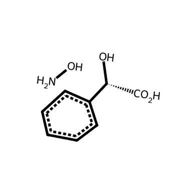 NO.O=C(O)[C@@H](O)c1ccccc1